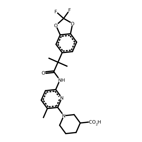 Cc1ccc(NC(=O)C(C)(C)c2ccc3c(c2)OC(F)(F)O3)nc1N1CCCC(C(=O)O)C1